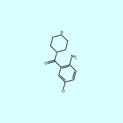 Nc1ccc(Cl)cc1C(=O)N1CCNCC1